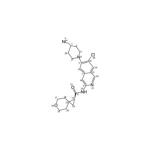 N#CC1CCN(c2cc3cc(NC(=O)[C@H]4CC45CCOCC5)ncc3cc2Cl)CC1